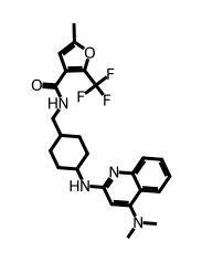 Cc1cc(C(=O)NCC2CCC(Nc3cc(N(C)C)c4ccccc4n3)CC2)c(C(F)(F)F)o1